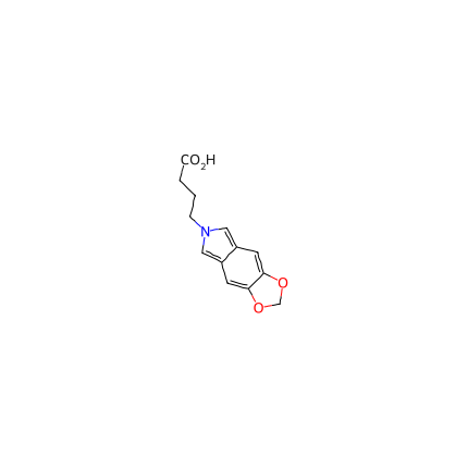 O=C(O)CCCn1cc2cc3c(cc2c1)OCO3